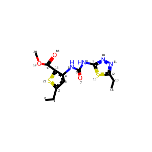 CCc1cc(NC(=O)Nc2nnc(CC)s2)c(C(=O)OC)s1